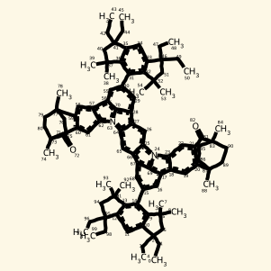 CCC1(CC)CC(C)(C)c2c1cc1c(c2-c2cc3c4cc5c(cc4n4c6cc7c8cc(-c9c%10c(cc%11c9C(C)(C)CC%11(CC)CC)C(CC)(CC)CC%10(C)C)cc9c%10cc%11c(cc%10n(c7cc6c(c2)c34)c98)C(=O)C2(C)CCC%11(C)CC2)C(=O)C2(C)CCC5(C)CC2)C(C)(C)CC1(CC)CC